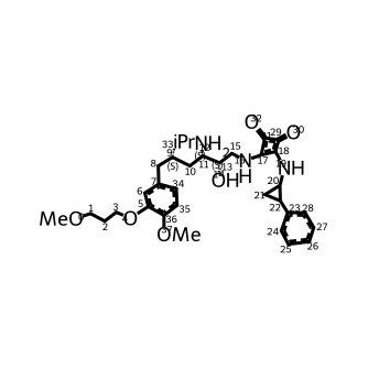 COCCCOc1cc(C[C@@H](C[C@H](N)[C@@H](O)CNc2c(NC3CC3c3ccccc3)c(=O)c2=O)C(C)C)ccc1OC